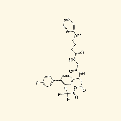 O=C(CCCNc1ccccn1)NCC(=O)NC(CC(=O)OC(=O)C(F)(F)F)c1ccc(-c2ccc(F)cc2)cc1